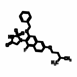 CC(C)CCOc1ccc2c(F)c(N3CC(=O)NS3(=O)=O)c(OCc3ccccc3)cc2c1